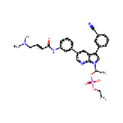 CCOP(=O)(O)OC(C)n1cc(-c2cccc(C#N)c2)c2cc(-c3cccc(NC(=O)/C=C/CN(C)C)c3)cnc21